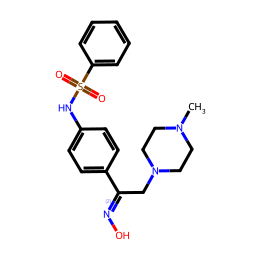 CN1CCN(C/C(=N\O)c2ccc(NS(=O)(=O)c3ccccc3)cc2)CC1